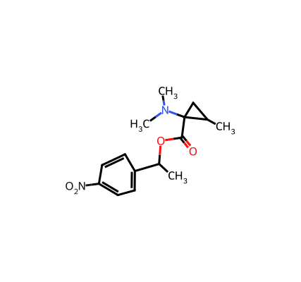 CC(OC(=O)C1(N(C)C)CC1C)c1ccc([N+](=O)[O-])cc1